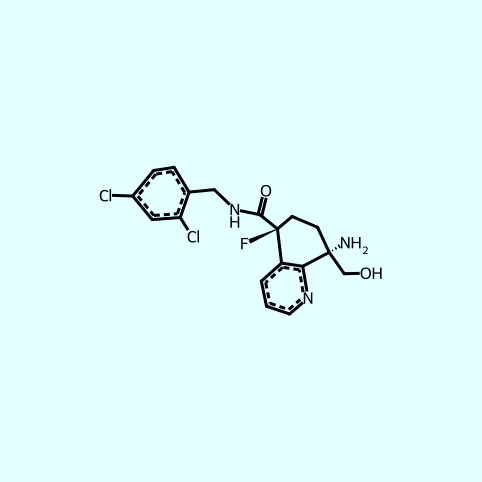 N[C@@]1(CO)CC[C@@](F)(C(=O)NCc2ccc(Cl)cc2Cl)c2cccnc21